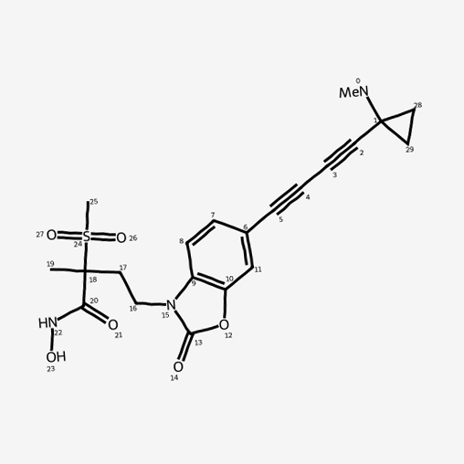 CNC1(C#CC#Cc2ccc3c(c2)oc(=O)n3CCC(C)(C(=O)NO)S(C)(=O)=O)CC1